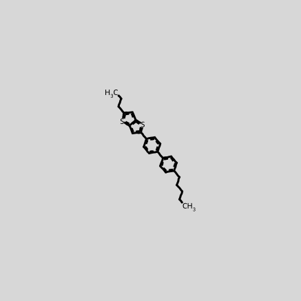 CCCCCc1ccc(-c2ccc(-c3cc4sc(CCC)cc4s3)cc2)cc1